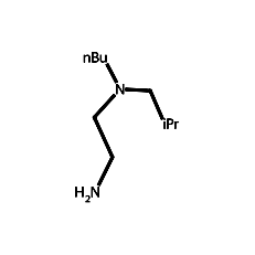 CCCCN(CCN)CC(C)C